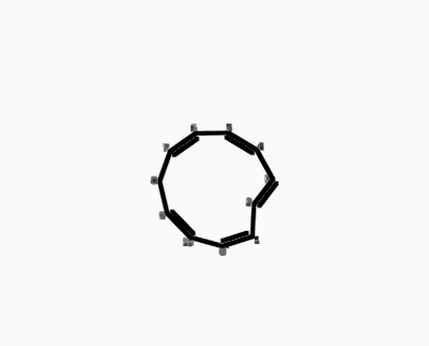 [C]1=C\C=C\C=C/C=C\C\C=C/1